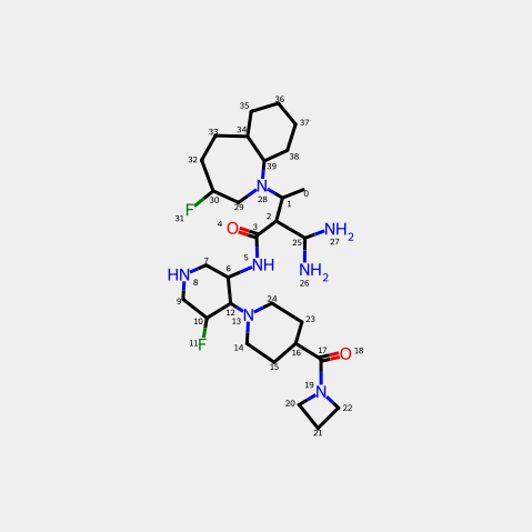 CC(C(C(=O)NC1CNCC(F)C1N1CCC(C(=O)N2CCC2)CC1)C(N)N)N1CC(F)CCC2CCCCC21